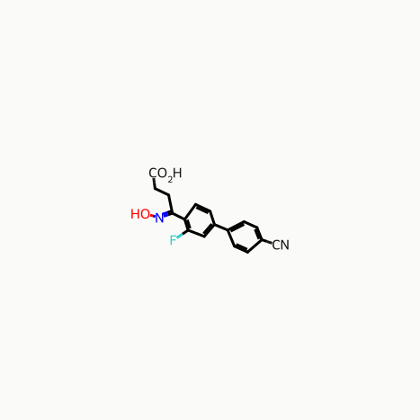 N#Cc1ccc(-c2ccc(C(CCC(=O)O)=NO)c(F)c2)cc1